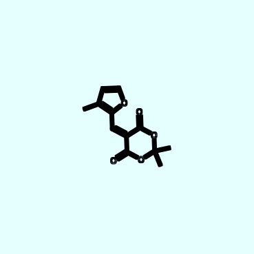 Cc1ccoc1C=C1C(=O)OC(C)(C)OC1=O